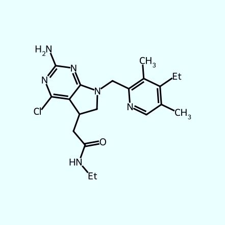 CCNC(=O)CC1CN(Cc2ncc(C)c(CC)c2C)c2nc(N)nc(Cl)c21